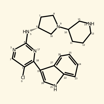 Clc1cnc(N[C@@H]2CCN(C3CCCNC3)C2)nc1-c1c[nH]c2ccccc12